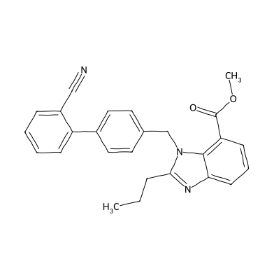 CCCc1nc2cccc(C(=O)OC)c2n1Cc1ccc(-c2ccccc2C#N)cc1